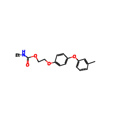 CCNC(=O)OCCOc1ccc(Oc2cccc(C)c2)cc1